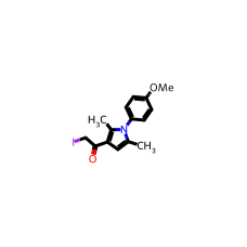 COc1ccc(-n2c(C)cc(C(=O)CI)c2C)cc1